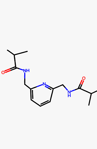 CC(C)C(=O)NCc1cccc(CNC(=O)C(C)C)n1